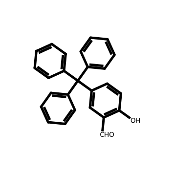 O=Cc1cc(C(c2ccccc2)(c2ccccc2)c2ccccc2)ccc1O